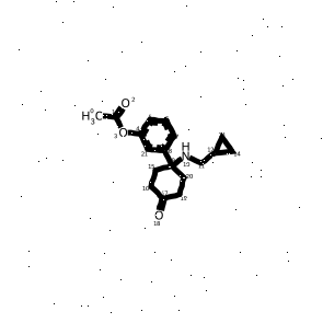 CC(=O)Oc1cccc(C2(NCC3CC3)CCC(=O)CC2)c1